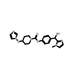 Cn1ccnc1C(S)c1ccc(OC(=O)N2CCC(On3ccnc3)CC2)cc1